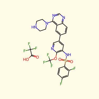 O=C(O)C(F)(F)F.O=S(=O)(Nc1cc(-c2ccc3ncnc(N4CCNCC4)c3c2)cnc1OC(F)(F)F)c1ccc(F)cc1F